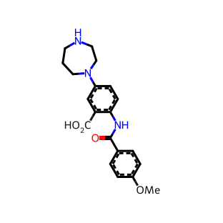 COc1ccc(C(=O)Nc2ccc(N3CCCNCC3)cc2C(=O)O)cc1